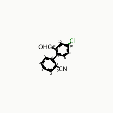 N#Cc1ccccc1-c1ccc(Cl)cc1C=O